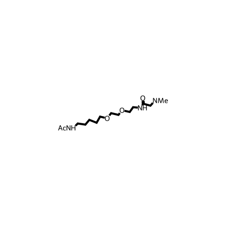 CNCC(=O)NCCOCCOCCCCCNC(C)=O